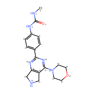 CCNC(=O)Nc1ccc(-c2nc3c(c(N4CCOCC4)n2)CNC3)cc1